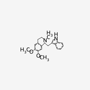 COc1cc2c(cc1OC)C(Cc1c[nH]c3ccccc13)N(C)CC2